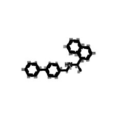 C[C@@H](NCc1ccc(-c2ccccc2)cc1)c1cccc2ccccc12